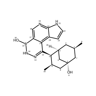 C[C@@H]1C[C@H]2C[C@@](O)(C1)C[C@@H](C)[C@H]2C1=NNB(O)c2cnc3[nH]ccc3c21